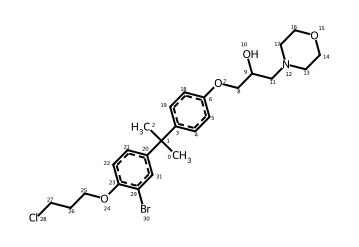 CC(C)(c1ccc(OCC(O)CN2CCOCC2)cc1)c1ccc(OCCCCl)c(Br)c1